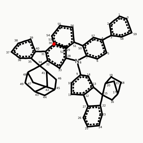 c1ccc(-c2ccc(N(c3ccc4c(c3)C3(CC5CCC3C5)c3ccccc3-4)c3ccc4c(c3)C3(c5ccccc5-4)C4CC5CC(C4)CC3C5)c(-c3ccccc3)c2)cc1